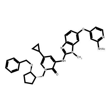 CC(=O)Nc1cc(Oc2ccc3nc(Nc4cc(C5CC5)cn(C[C@@H]5CCC[C@H]5OCc5ccccc5)c4=O)n(C)c3c2)ccn1